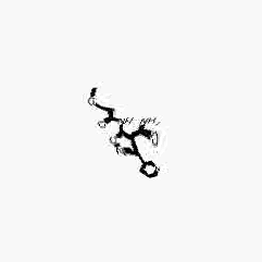 COCC(=O)Nc1onc(-c2cccnc2)c1C(N)=O